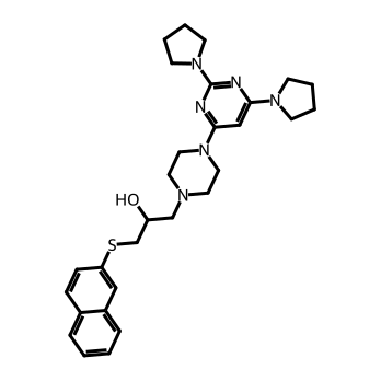 OC(CSc1ccc2ccccc2c1)CN1CCN(c2cc(N3CCCC3)nc(N3CCCC3)n2)CC1